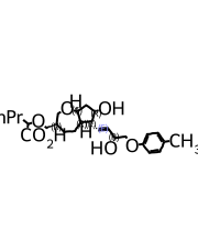 CCCC(OC[C@@H]1CC[C@@H]2[C@@H](/C=C/[C@@H](O)COc3ccc(C)cc3)[C@H](O)C[C@@H]2OC1)C(=O)O